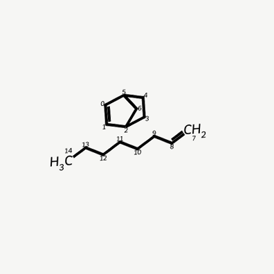 C1=CC2CCC1C2.C=CCCCCCC